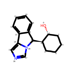 O[C@@H]1CCCC[C@H]1C1c2ccccc2-c2cncn21